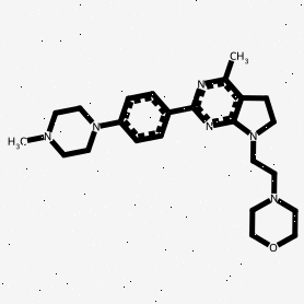 Cc1nc(-c2ccc(N3CCN(C)CC3)cc2)nc2c1CCN2CCN1CCOCC1